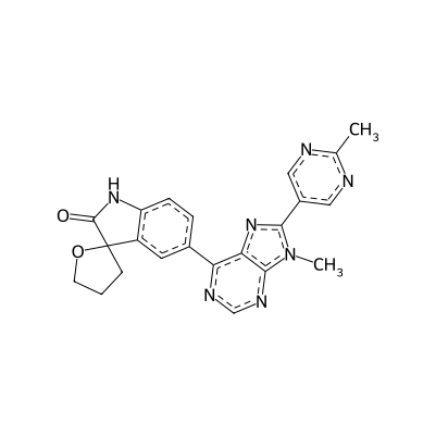 Cc1ncc(-c2nc3c(-c4ccc5c(c4)C4(CCCO4)C(=O)N5)ncnc3n2C)cn1